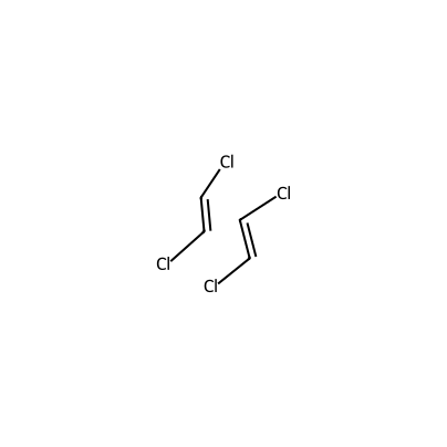 ClC=CCl.ClC=CCl